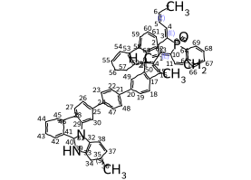 C=CC/C(=C\C=C/C)P(=O)(/C(C=C)=C/C1=C(C)c2ccc(-c3ccc(-c4ccc5c(c4)N4C6=C(C[C@H](C)C=C6)NC4c4ccccc4-5)cc3)cc2C12C1=C(C=CCC1)c1ccccc12)c1ccccc1